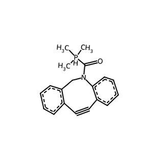 C[PH](C)(C)C(=O)N1Cc2ccccc2C#Cc2ccccc21